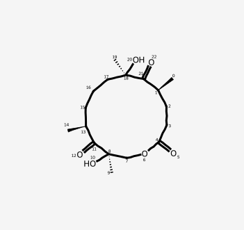 C[C@H]1CCC(=O)OC[C@@](C)(O)C(=O)[C@@H](C)CCC[C@@](C)(O)C1=O